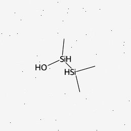 C[SiH](C)[SiH](C)O